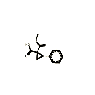 COC(=O)[C@]1(C(=O)O)C[C@H]1c1ccccc1